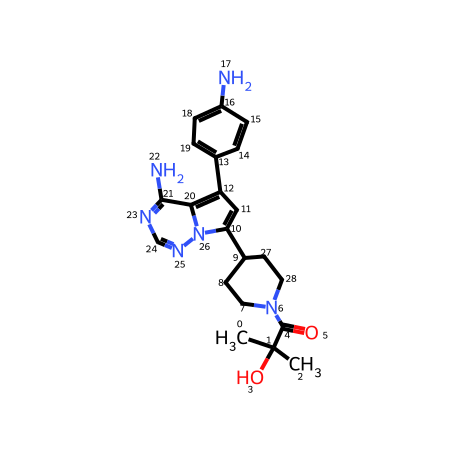 CC(C)(O)C(=O)N1CCC(c2cc(-c3ccc(N)cc3)c3c(N)ncnn23)CC1